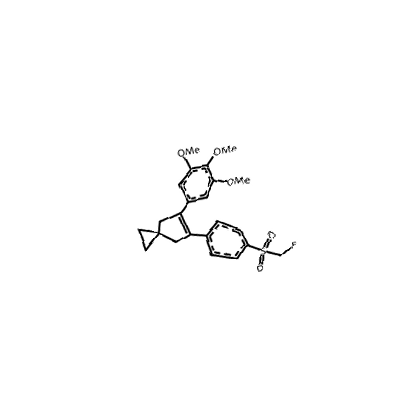 COc1cc(C2=C(c3ccc(S(=O)(=O)CF)cc3)CC3(CC3)C2)cc(OC)c1OC